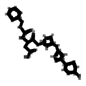 O=C(O)CC(NC(=O)OCc1ccccc1)C(=O)Cn1nnc(Cc2nc(-c3ccc(Cl)cc3)cs2)n1